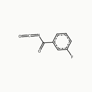 O=C=NC(=O)c1cccc(F)c1